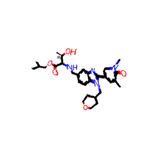 Cc1cc(-c2nc3cc(CNC(C(=O)OCC(C)C)[C@@H](C)O)ccc3n2CC2CCOCC2)cn(C)c1=O